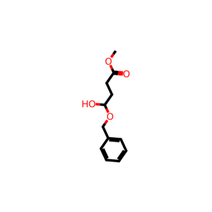 COC(=O)CCC(O)OCc1ccccc1